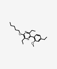 CCCCCOc1nc(CC)c(-c2ccc(CC)cc2OC)nc1CC